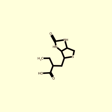 CCC(CC1SCC2NC(=O)NC21)C(=O)O